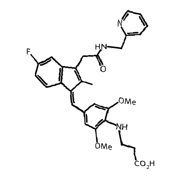 COc1cc(C=C2C(C)=C(CC(=O)NCc3ccccn3)c3cc(F)ccc32)cc(OC)c1NCCC(=O)O